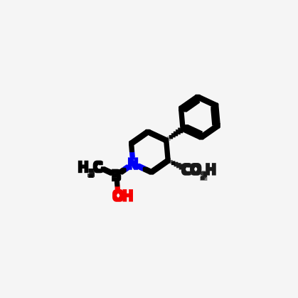 CB(O)N1CC[C@H](c2ccccc2)[C@H](C(=O)O)C1